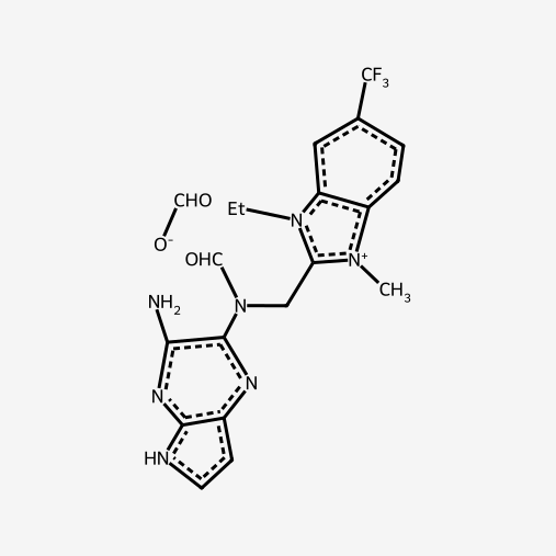 CCn1c(CN(C=O)c2nc3cc[nH]c3nc2N)[n+](C)c2ccc(C(F)(F)F)cc21.O=C[O-]